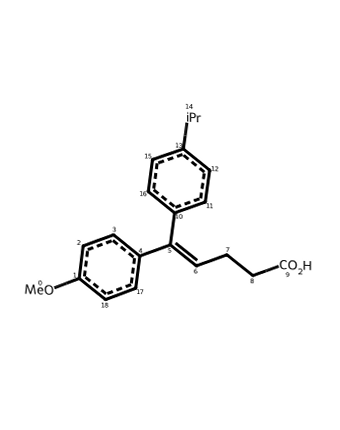 COc1ccc(C(=CCCC(=O)O)c2ccc(C(C)C)cc2)cc1